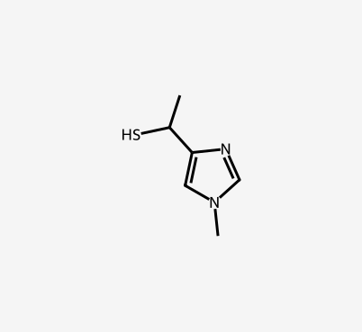 CC(S)c1cn(C)cn1